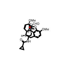 COc1ccc2c3c1O[C@H]1[C@@]4(OC)C=C[C@@]5(C[C@]4(C)C=O)[C@@H](C2)C(NC(=O)C2CC2)CC[C@]315